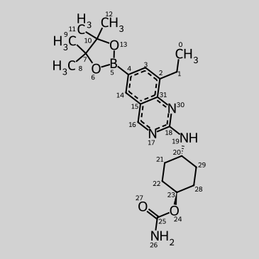 CCc1cc(B2OC(C)(C)C(C)(C)O2)cc2cnc(N[C@H]3CC[C@H](OC(N)=O)CC3)nc12